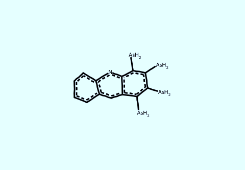 [AsH2]c1c([AsH2])c([AsH2])c2nc3ccccc3cc2c1[AsH2]